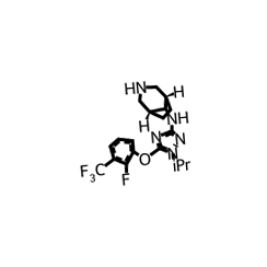 CC(C)n1nc(NC2[C@@H]3CC[C@H]2CNC3)nc1Oc1cccc(C(F)(F)F)c1F